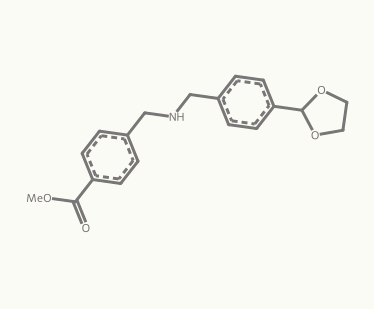 COC(=O)c1ccc(CNCc2ccc(C3OCCO3)cc2)cc1